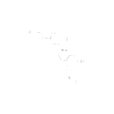 C#CCOc1ccc(C(C)CC(=O)OCC)cc1OC